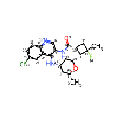 C[C@@H]1C[C@H](Nc2c(NC(=O)[C@H]3C[C@@](C)(F)C3)cnc3ccc(Cl)cc23)CCO1